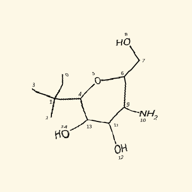 CC(C)(C)C1OC(CO)C(N)C(O)C1O